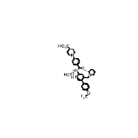 C[C@@H]1CCCN1Cc1cc(NC(=O)c2ccc(N3CCC(C(=O)O)CC3)cc2)ncc1-c1ccc(OC(F)(F)F)cc1.Cl.Cl